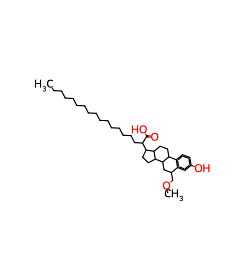 CCCCCCCCCCCCCCCCC(C(=O)O)C1CCC2C3CC(COC)c4cc(O)ccc4C3CCC12